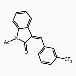 CC(=O)N1C(=O)C(=Cc2cccc(C(F)(F)F)c2)c2ccccc21